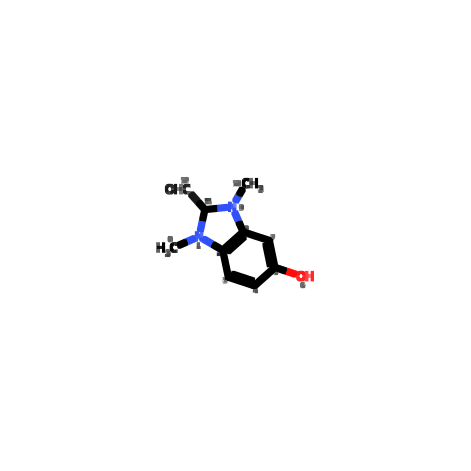 CN1c2ccc(O)cc2N(C)C1C=O